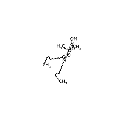 CC/C=C\CC1C(CC(=O)OCC(COCCCCCCCC/C=C\C/C=C\CCCCC)OCCCCCCCC/C=C\C/C=C\CCCCC)CCC1OC(=O)C1(C)CCN(CCO)CC1